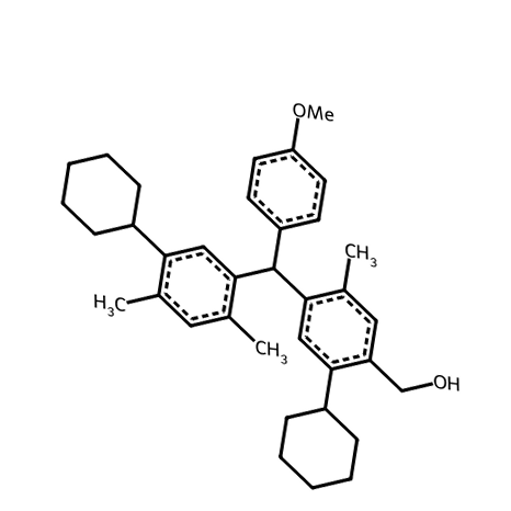 COc1ccc(C(c2cc(C3CCCCC3)c(C)cc2C)c2cc(C3CCCCC3)c(CO)cc2C)cc1